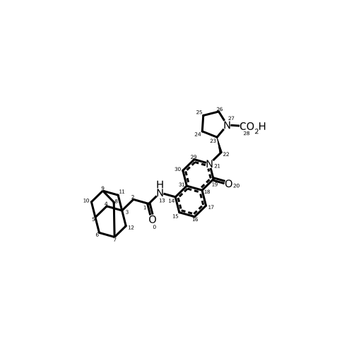 O=C(CC12CC3CC(CC(C3)C1)C2)Nc1cccc2c(=O)n(C[C@H]3CCCN3C(=O)O)ccc12